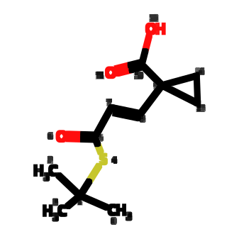 CC(C)(C)SC(=O)C=CC1(C(=O)O)CC1